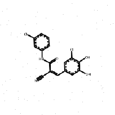 N#CC(=Cc1cc(O)c(O)c(Cl)c1)C(=O)Nc1cccc(Cl)c1